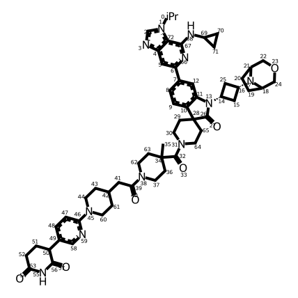 CC(C)n1cnc2cc(-c3ccc4c(c3)N([C@H]3C[C@@H](N5C6CCC5COC6)C3)C(=O)C43CCN(C(=O)C4(C)CCN(C(=O)CC5CCN(c6ccc(C7CCC(=O)NC7=O)cn6)CC5)CC4)CC3)nc(NC3CC3)c21